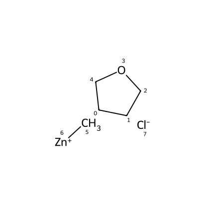 C1CCOC1.[CH3][Zn+].[Cl-]